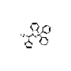 CC(=NO[Si](c1ccccc1)(c1ccccc1)c1ccccc1)c1cccs1